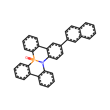 O=P12c3ccccc3-c3ccccc3N1c1ccc(-c3ccc4ccccc4c3)cc1-c1ccccc12